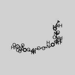 O=C1CCC(N2C(=O)c3ccc(OCc4cn(CCOCCOCCNCc5ccc(-n6cc(NC(=O)c7coc(-c8ccnc(NCC9CC9)c8)n7)c(C(F)F)n6)cc5)nn4)cc3C2=O)C(=O)N1